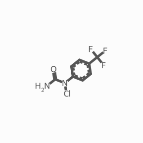 NC(=O)N(Cl)c1ccc(C(F)(F)F)cc1